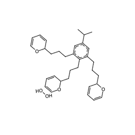 CC(C)c1cc(CCCC2C=CC=CO2)c(CCCC2C=CC=CO2)c(CCCC2C=CC=CO2)c1.OO